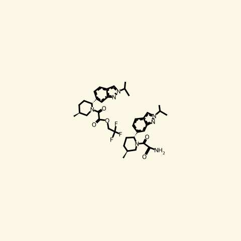 CC(C)n1cc2ccc([C@H]3CC[C@H](C)CN3C(=O)C(=O)OCC(F)(F)F)cc2n1.CC(C)n1cc2ccc([C@H]3CC[C@H](C)CN3C(=O)C(N)=O)cc2n1